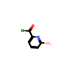 Bc1cccc(C(=O)Cl)n1